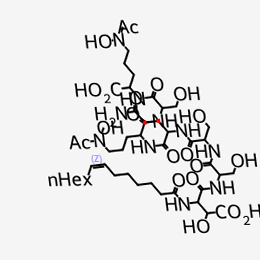 CCCCCC/C=C\CCCCCC(=O)NC(C(=O)NC(CO)C(=O)NC(CO)C(=O)NC(CCC(N)=O)C(=O)NC(CCCN(O)C(C)=O)C(=O)NC(CO)C(=O)NC(CCCN(O)C(C)=O)C(=O)O)C(O)C(=O)O